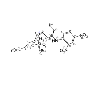 CCCCCCCCCCCCC/C=C\[C@@H](O[Si](C)(C)C(C)(C)C)[C@@H](CI)Nc1ccc([N+](=O)[O-])cc1[N+](=O)[O-]